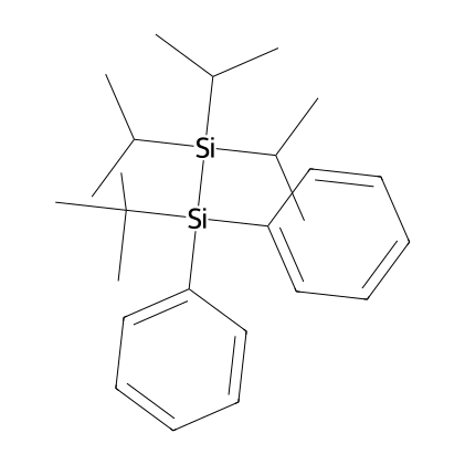 CC(C)[Si](C(C)C)(C(C)C)[Si](c1ccccc1)(c1ccccc1)C(C)(C)C